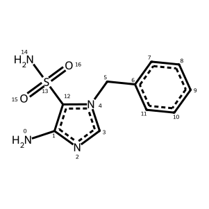 Nc1ncn(Cc2ccccc2)c1S(N)(=O)=O